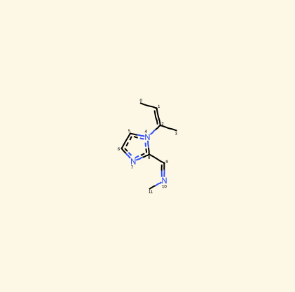 C/C=C(/C)n1ccnc1/C=N\C